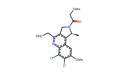 COCC(=O)N1Cc2c(CC=O)nc3c(Cl)c(Cl)c(OC)cc3c2[C@@H]1C